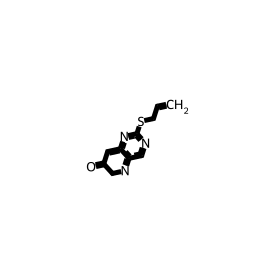 C=CCSc1ncc2c(n1)=CC(=O)CN=2